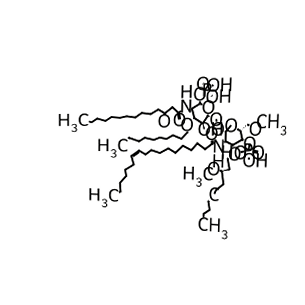 CCCCCC/C=C\CCCCCCCCCC(=O)N[C@H]1[C@H](OO[C@H]2OC(OP(=O)(O)O)C(NC(=O)CC(=O)CCCCCCCCCCC)[C@@H](OCCCCCCCCCC)[C@@H]2O)O[C@H](COC)C(OP(=O)(O)O)[C@@H]1OCC[C@@H](CCCCCCC)OC